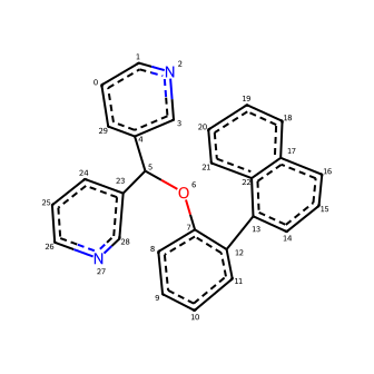 c1cncc(C(Oc2ccccc2-c2cccc3ccccc23)c2cccnc2)c1